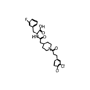 O=C(CC1CCN(C(=O)CCc2ccc(Cl)c(Cl)c2)CC1)N[C@@H](Cc1cccc(F)c1)C(=O)O